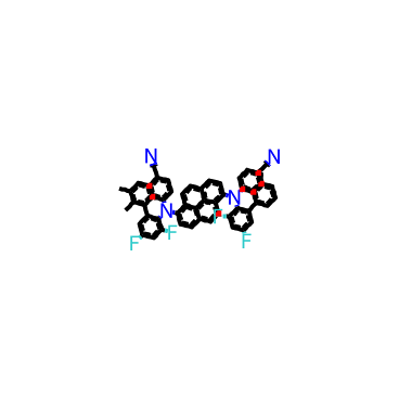 Cc1cccc(-c2cc(F)cc(F)c2N(c2ccc(C#N)cc2)c2ccc3ccc4c(N(c5ccc(C#N)cc5)c5c(F)cc(F)cc5-c5cccc(C)c5C)ccc5ccc2c3c54)c1C